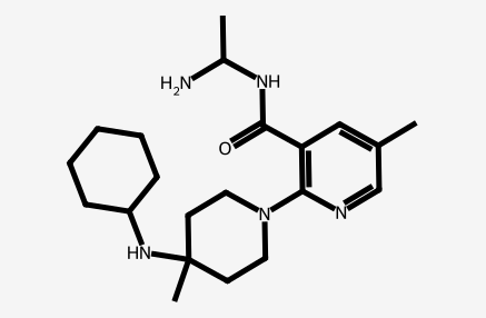 Cc1cnc(N2CCC(C)(NC3CCCCC3)CC2)c(C(=O)NC(C)N)c1